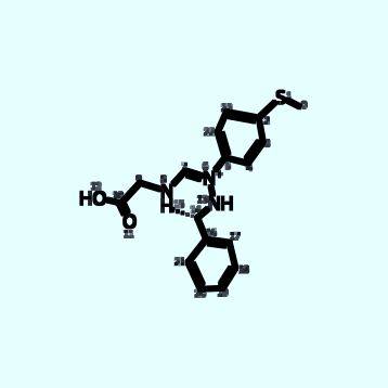 CSc1ccc([N+](=CNCC(=O)O)N[C@@H](C)c2ccccc2)cc1